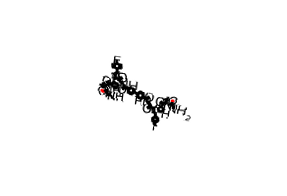 CN[C@@H](C)C(=O)N[C@H](C(=O)N1CCC[C@H]1CN(CCc1ccc(F)cc1)C(=O)CNC(=O)c1ccc(-c2ccc(C(=O)NCC(=O)N(CCc3ccc(F)cc3)C[C@@H]3CCCN3C(=O)[C@@H](NC(=O)[C@H](C)N)C(C)(C)C)cc2)cc1)C(C)(C)C